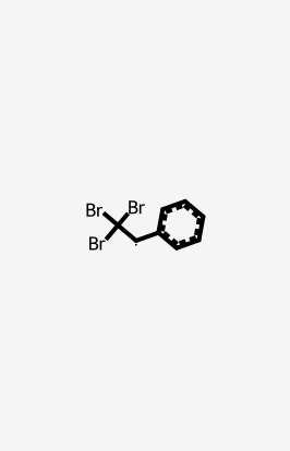 BrC(Br)(Br)[CH]c1ccccc1